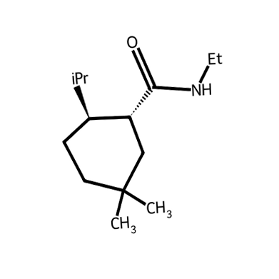 CCNC(=O)[C@@H]1CC(C)(C)CC[C@H]1C(C)C